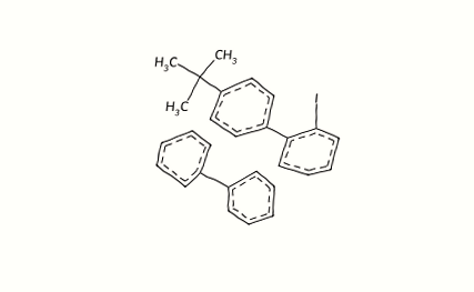 CC(C)(C)c1ccc(-c2ccccc2I)cc1.c1ccc(-c2ccccc2)cc1